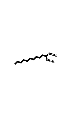 CCCCCCCCCCC(N=C=O)N=C=O